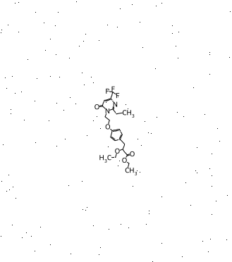 CCOC(=O)C(Cc1ccc(OCCn2c(CC)nc(C(F)(F)F)cc2=O)cc1)OCC